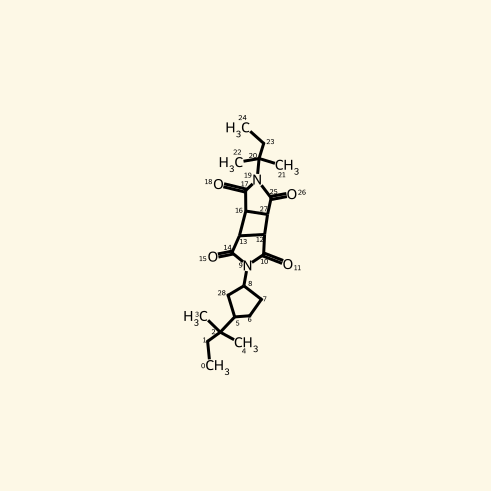 CCC(C)(C)C1CCC(N2C(=O)C3C(C2=O)C2C(=O)N(C(C)(C)CC)C(=O)C32)C1